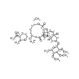 CC[C@H]1CCC[C@H](O[C@H]2CC[C@H](N(C)C)C(C)O2)[C@@H](C)C(=O)C2=C[C@@H]3[C@@H](C=C[C@@H]4C[C@@H](O[C@@H]5OC(C)[C@H](OC)C(OC)C5OC)C[C@@H]34)[C@@H]2CC(=O)O1